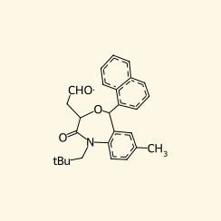 Cc1ccc2c(c1)C(c1cccc3ccccc13)OC(C[C]=O)C(=O)N2CC(C)(C)C